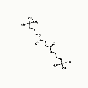 CC(C)(C)[Si](C)(C)OCCOC(=O)/C=C/C(=O)OCCO[Si](C)(C)C(C)(C)C